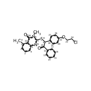 Cc1cccc2nc(SC(C(=O)c3ccccc3)c3ccc(OCCCl)cc3)n(C)c(=O)c12